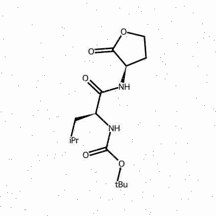 CC(C)C[C@H](NC(=O)OC(C)(C)C)C(=O)N[C@@H]1CCOC1=O